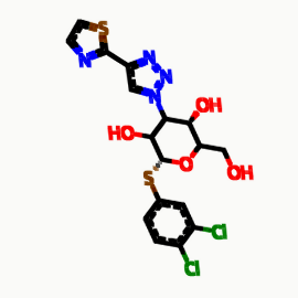 OCC1O[C@H](Sc2ccc(Cl)c(Cl)c2)C(O)C(n2cc(-c3nccs3)nn2)[C@H]1O